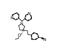 CCOC[C@]1(CCc2ccc(C#N)cc2)CCN(C(c2cccnc2)c2cccnc2)C1